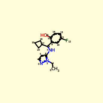 CCn1nccc1NC(c1cc(F)ccc1O)C1CCC1